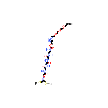 CC(C)SC/C(CSC(C)(C)C)=N/OCC(=O)NCC(=O)NCC(=O)NCC(=O)NCCNC(=O)OCc1cn(CCOCCOCCOCCC(C)(C)C)nn1